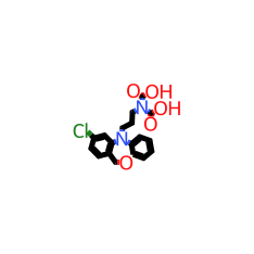 O=C(O)N(CCCN1c2cc(Cl)ccc2COc2ccccc21)C(=O)O